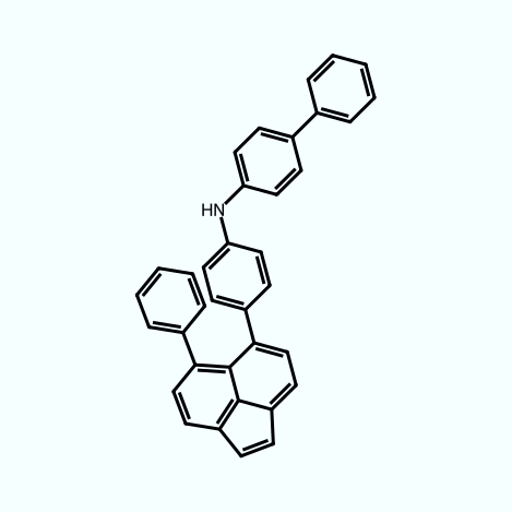 C1=Cc2ccc(-c3ccc(Nc4ccc(-c5ccccc5)cc4)cc3)c3c(-c4ccccc4)ccc1c23